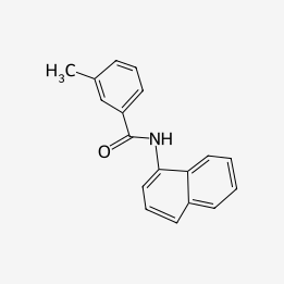 Cc1cccc(C(=O)Nc2cccc3ccccc23)c1